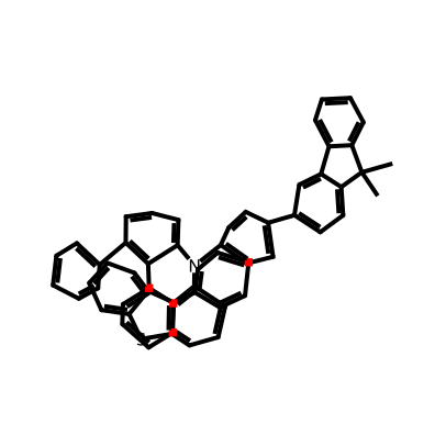 CC1(C)c2ccccc2-c2cc(-c3ccc(N(c4cccc(-c5ccccc5)c4-c4ccccc4-c4ccccc4)c4cccc5sc6ccccc6c45)cc3)ccc21